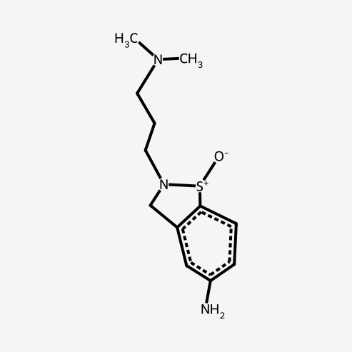 CN(C)CCCN1Cc2cc(N)ccc2[S+]1[O-]